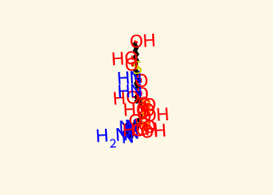 CC(C)(COP(=O)(O)OP(=O)(O)OC[C@H]1O[C@@H](n2cnc3c(N)ncnc32)[C@H](O)[C@@H]1OP(=O)(O)O)[C@@H](O)C(=O)NCCC(=O)NCCSC(=O)CC(O)CCCCO